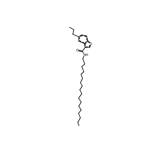 CCCCCCCCCCCCCCCCCCNC(=O)c1csc2ccc(CCC)cc12